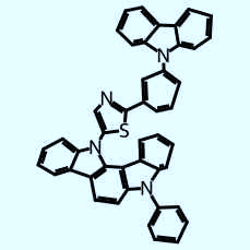 c1ccc(-n2c3ccccc3c3c2ccc2c4ccccc4n(-c4cnc(-c5cccc(-n6c7ccccc7c7ccccc76)c5)s4)c23)cc1